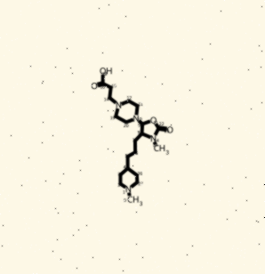 CN1CCC(CCCC2C(N3CCN(CCC(=O)O)CC3)OC(=O)N2C)CC1